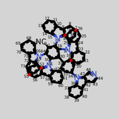 N#Cc1c(-n2c3ccccc3c3ccccc32)c(-n2c3ccccc3c3ccccc32)c(-c2ccc(-n3c4ccccc4c4ccncc43)cc2)c(-n2c3ccccc3c3ccccc32)c1-n1c2ccccc2c2ccccc21